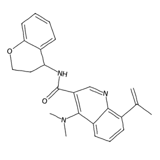 C=C(C)c1cccc2c(N(C)C)c(C(=O)NC3CCOc4ccccc43)cnc12